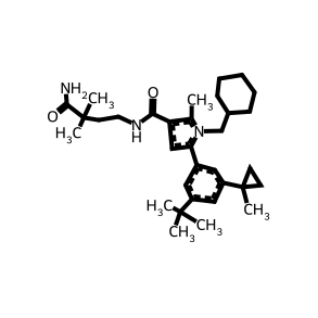 Cc1c(C(=O)NCCC(C)(C)C(N)=O)cc(-c2cc(C(C)(C)C)cc(C3(C)CC3)c2)n1CC1CCCCC1